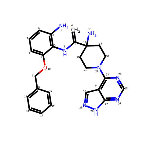 C=C(Nc1c(N)cccc1OCc1ccccc1)C1(N)CCN(c2ncnc3[nH]ncc23)CC1